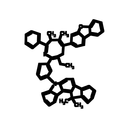 CC/C1=C(c2cccc(-n3c4ccccc4c4c5c(ccc43)-c3ccccc3C5(C)C)c2)/N=C(/c2ccccc2)C(C)/C(C)=C(/c2ccc3c(c2)oc2ccccc23)C1